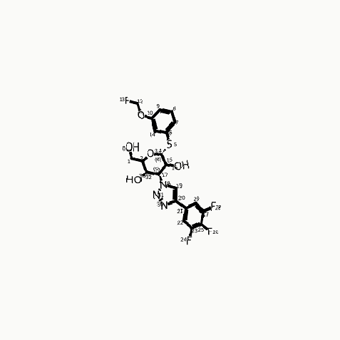 OCC1O[C@H](Sc2cccc(OCF)c2)C(O)[C@@H](n2cc(-c3cc(F)c(F)c(F)c3)nn2)[C@H]1O